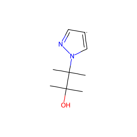 CC(C)(O)C(C)(C)n1c[c]cn1